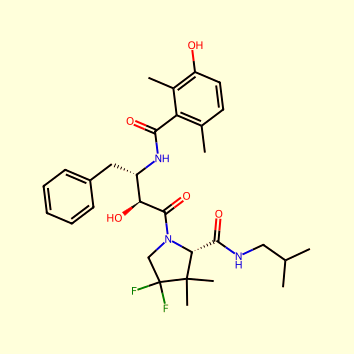 Cc1ccc(O)c(C)c1C(=O)N[C@@H](Cc1ccccc1)[C@H](O)C(=O)N1CC(F)(F)C(C)(C)[C@H]1C(=O)NCC(C)C